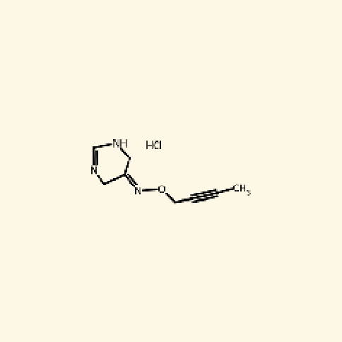 CC#CCO/N=C1/CN=CNC1.Cl